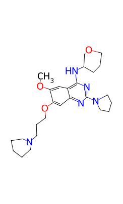 COc1cc2c(NC3CCCOC3)nc(N3CCCC3)nc2cc1OCCCN1CCCCC1